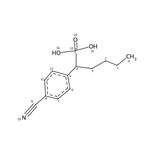 CCCCC(c1ccc(C#N)cc1)P(=O)(O)O